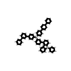 C1=CC(c2ccccc2)CC=C1c1ccc(N(c2ccc(-c3cccc(-c4ccccc4)c3)cc2)c2cccc(-c3cccc4c3c3ccccc3n4-c3ccccc3)c2)cc1